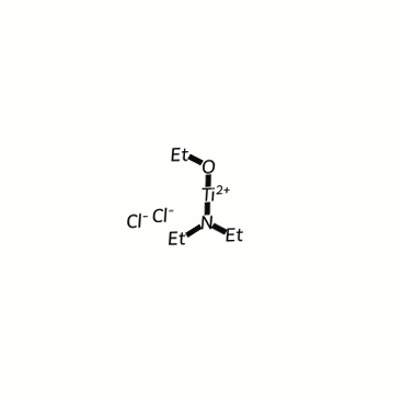 CC[O][Ti+2][N](CC)CC.[Cl-].[Cl-]